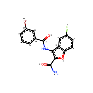 NC(=O)c1oc2ccc(F)cc2c1NC(=O)c1cccc(Br)c1